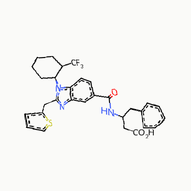 O=C(O)CC(Cc1ccccc1)NC(=O)c1ccc2c(c1)nc(Cc1cccs1)n2[C@H]1CCCCC1C(F)(F)F